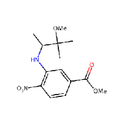 COC(=O)c1ccc([N+](=O)[O-])c(NC(C)C(C)(C)OC)c1